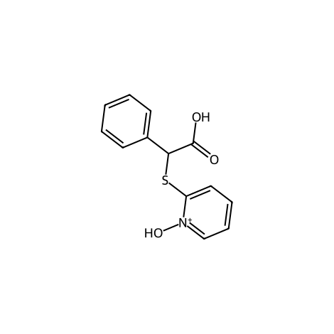 O=C(O)C(Sc1cccc[n+]1O)c1ccccc1